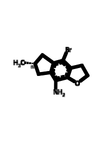 C[C@H]1Cc2c(N)c3c(c(Br)c2C1)CCO3